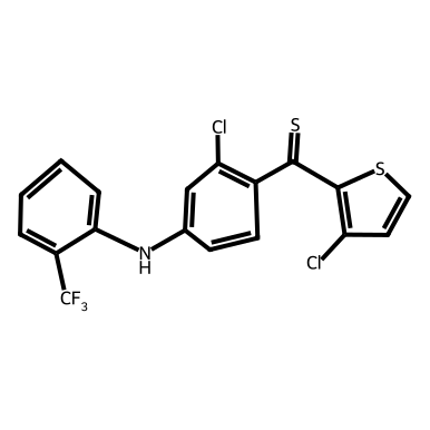 FC(F)(F)c1ccccc1Nc1ccc(C(=S)c2sccc2Cl)c(Cl)c1